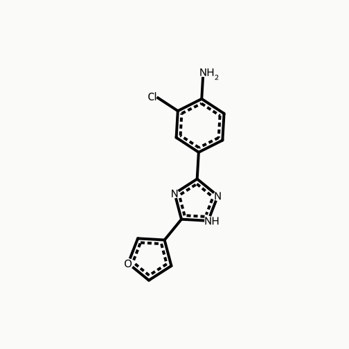 Nc1ccc(-c2n[nH]c(-c3ccoc3)n2)cc1Cl